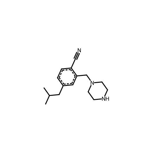 CC(C)Cc1ccc(C#N)c(CN2CCNCC2)c1